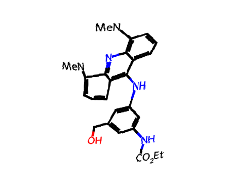 CCOC(=O)Nc1cc(CO)cc(Nc2c3cccc(NC)c3nc3c(NC)cccc23)c1